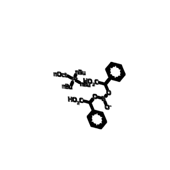 CCCCCCCC[P+](CCCC)(CCCC)CCCC.O=C(O)C(OB([O-])OC(C(=O)O)c1ccccc1)c1ccccc1